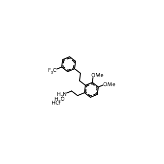 COc1ccc(CCN)c(CCc2cccc(C(F)(F)F)c2)c1OC.Cl.O